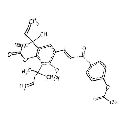 C=CC(C)(C)c1cc(C=CC(=O)c2ccc(OC(=O)C(C)(C)C)cc2)c(OC(C)C)c(C(C)(C)C=C)c1OC(=O)C(C)(C)C